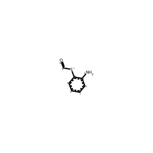 Nc1ccccc1SC=O